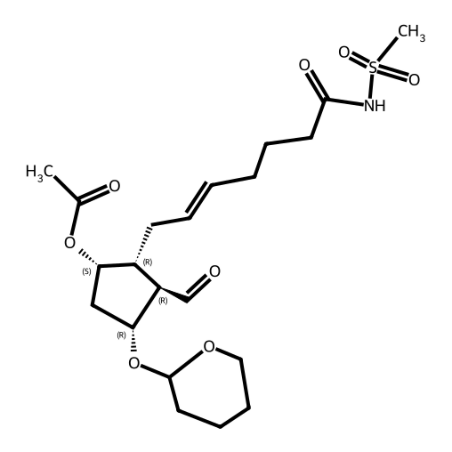 CC(=O)O[C@H]1C[C@@H](OC2CCCCO2)[C@H](C=O)[C@H]1CC=CCCCC(=O)NS(C)(=O)=O